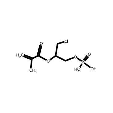 C=C(C)C(=O)OC(CCl)COP(=O)(O)O